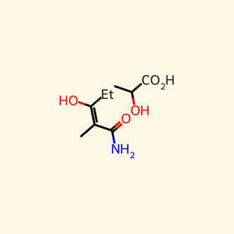 CC(O)C(=O)O.CC/C(O)=C(/C)C(N)=O